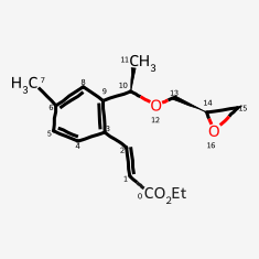 CCOC(=O)/C=C/c1ccc(C)cc1[C@@H](C)OC[C@H]1CO1